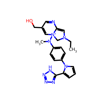 CCN1C=C2N=CC(CO)=C[N+]2(N(C)c2ccc(-n3cccc3-c3nnn[nH]3)cc2)C1